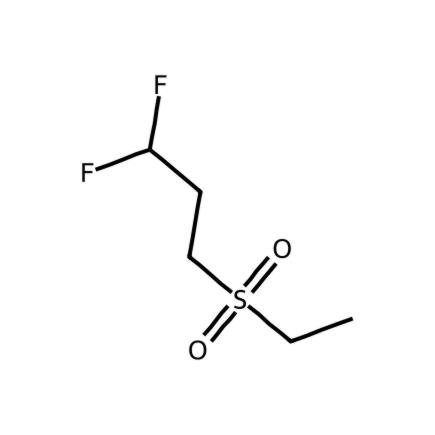 CCS(=O)(=O)CCC(F)F